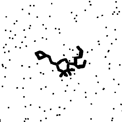 C\C=C/C=C(\C=C/C)N1CCN(CCC2CCC2)CC(C)(C)C1(C)C